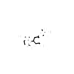 C=CCC(CC(=S)O[Si](C)(C)C)N1[Si](C)(C)CC[Si]1(C)C